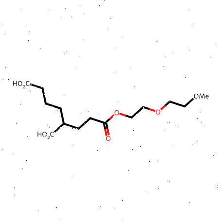 COCCOCCOC(=O)CCC(CCCC(=O)O)C(=O)O